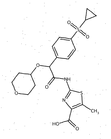 Cc1sc(NC(=O)C(OC2CCOCC2)c2ccc(S(=O)(=O)C3CC3)cc2)nc1C(=O)O